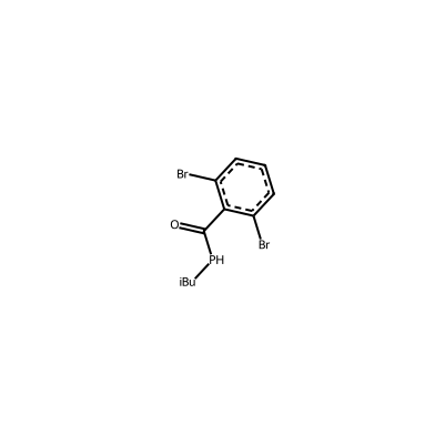 CCC(C)PC(=O)c1c(Br)cccc1Br